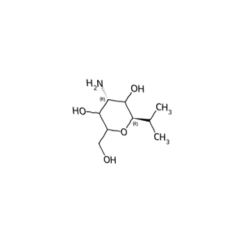 CC(C)[C@H]1OC(CO)C(O)[C@H](N)C1O